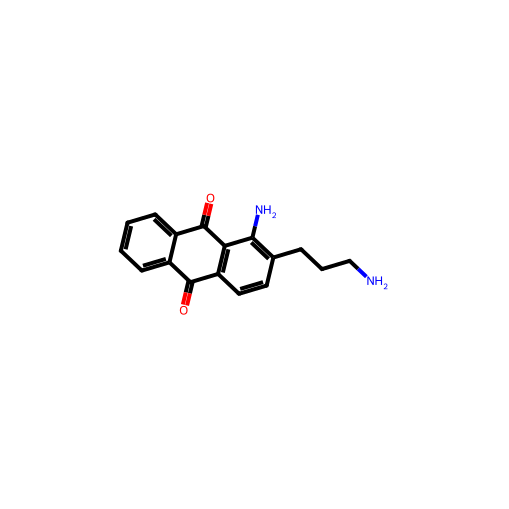 NCCCc1ccc2c(c1N)C(=O)c1ccccc1C2=O